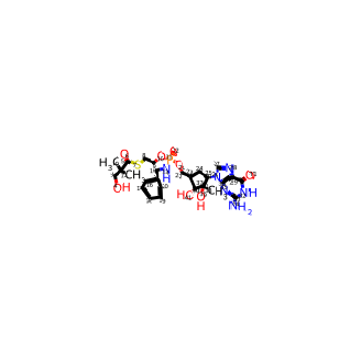 CC(C)(CO)C(=O)SCCOP(=O)(NCc1ccccc1)OCC1C[C@@H](n2cnc3c(=O)[nH]c(N)nc32)[C@](C)(O)[C@@H]1O